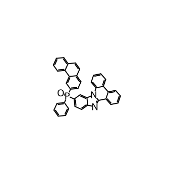 O=P(c1ccccc1)(c1ccc2ccc3ccccc3c2c1)c1ccc2nc3c4ccccc4c4ccccc4n3c2c1